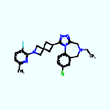 Cc1ccc(F)c(N2CC3(CC(c4nnc5n4-c4ccc(Cl)cc4CN(CC(F)(F)F)C5)C3)C2)n1